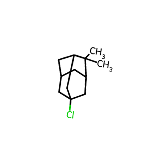 CC1(C)C2CC3CC1CC(Cl)(C3)C2